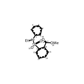 CCN(c1ccccc1)S(=O)(=O)c1ccccc1C(=O)OC